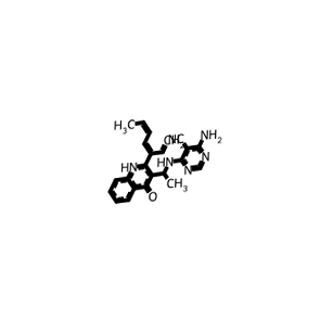 C=C/C(=C\C=C/C)c1[nH]c2ccccc2c(=O)c1C(C)Nc1ncnc(N)c1C#N